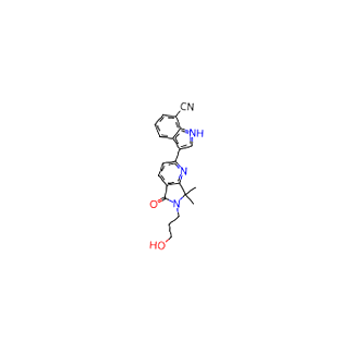 CC1(C)c2nc(-c3c[nH]c4c(C#N)cccc34)ccc2C(=O)N1CCCO